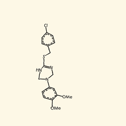 COc1ccc(N2CN=C(SCc3ccc(Cl)cc3)NC2)cc1OC